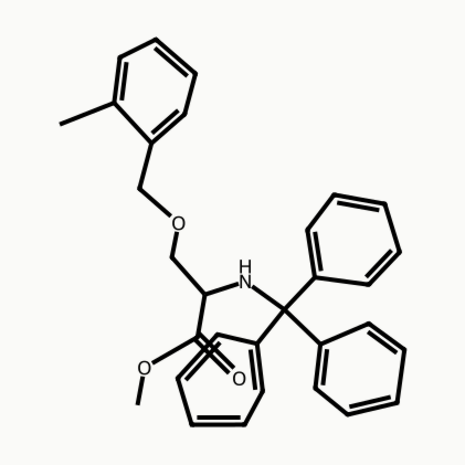 COC(=O)C(COCc1ccccc1C)NC(c1ccccc1)(c1ccccc1)c1ccccc1